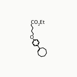 CCOC(=O)CCCCOc1ccc(C2=CCCCCCC2)cc1